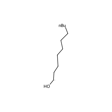 [CH2]CCCCCCCCC[CH]O